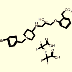 O=C(O)C(F)(F)F.O=C(O)C(F)(F)F.O=C(O)Cc1ccccc1OC[C@@H](O)CNC1CCN(Cc2ccc(Br)cc2)CC1